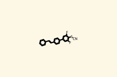 N#CSc1c(F)cc(-c2ccc(C=Cc3ccccc3)cc2)cc1F